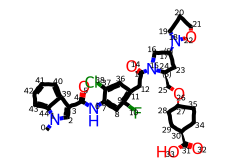 Cn1cc(C(=O)Nc2cc(F)c(CC(=O)N3C[C@@H](N4CCCO4)C[C@H]3CO[C@H]3CC[C@H](C(=O)O)CC3)cc2Cl)c2ccccc21